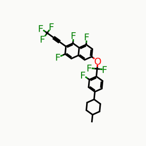 CC1CCC(c2ccc(C(F)(F)Oc3cc(F)c4c(F)c(C#CC(F)(F)F)c(F)cc4c3)c(F)c2)CC1